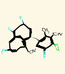 Cc1c([C@H]2C[C@H](F)[C@H](F)c3cc(F)cc(C#N)c32)cc(F)c(Cl)c1C#N